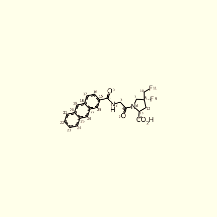 O=C(NCC(=O)N1C[C@@](F)(CF)CC1C(=O)O)c1ccc2cc3ccccc3cc2c1